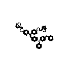 C(=C(c1ccc(OCc2ccco2)cc1)c1ccc(OCc2ccco2)cc1)c1ccc(N(c2ccccc2)c2ccc(Cc3ccccc3)cc2)cc1